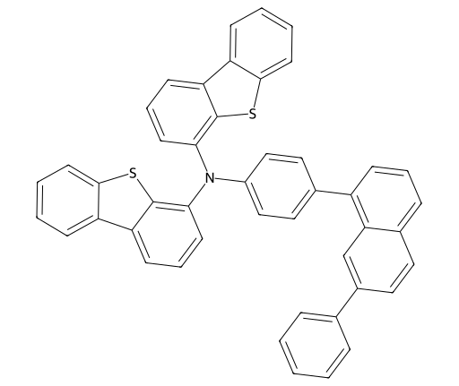 c1ccc(-c2ccc3cccc(-c4ccc(N(c5cccc6c5sc5ccccc56)c5cccc6c5sc5ccccc56)cc4)c3c2)cc1